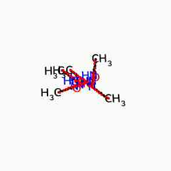 CCCCCCCCCCCCCCN(CCCCN(CCCCCCCCCCCCCC)CC(O)CN(CCC(=O)NCCCCCCCCCCCC)CCC(=O)NCCCCCCCCCCCC)CC(O)CNCCC(=O)NCCCCCCCCCCCC